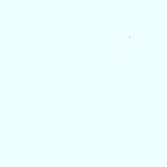 CCCCC1(C(=O)N2CCC3(S(=O)(=O)c4cccc(F)c4)c4ccc(C(F)(C(F)(F)F)C(F)(F)F)cc4CCC23)CC[C@@H](C(=O)O)[C@@H](C)C1